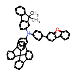 CC1(C)c2ccccc2-c2ccc(N(c3ccc(-c4ccc5c(c4)oc4ccccc45)cc3)c3cccc(-c4cccc5c4C4(c6ccccc6-c6ccccc64)c4ccccc4-5)c3)cc21